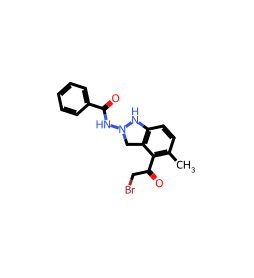 Cc1ccc2c(c1C(=O)CBr)CN(NC(=O)c1ccccc1)N2